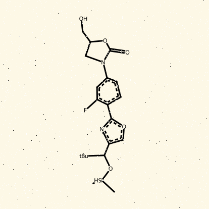 C[SiH](C)OC(c1coc(-c2ccc(N3CC(CO)OC3=O)cc2F)n1)C(C)(C)C